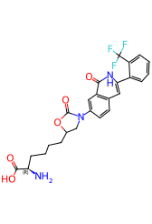 N[C@H](CCCCC1CN(c2ccc3cc(-c4ccccc4C(F)(F)F)[nH]c(=O)c3c2)C(=O)O1)C(=O)O